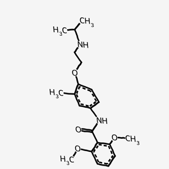 COc1cccc(OC)c1C(=O)Nc1ccc(OCCNC(C)C)c(C)c1